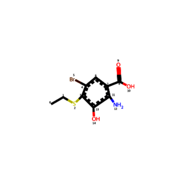 CCSc1c(Br)cc(C(=O)O)c(N)c1O